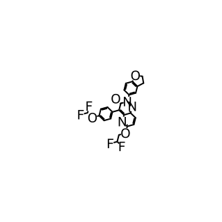 O=c1c(-c2ccc(OC(F)F)cc2)c2nc(OCC(F)F)ccc2nn1-c1ccc2c(c1)CCO2